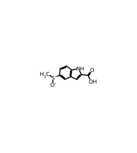 C[S+]([O-])c1ccc2[nH]c(C(=O)O)cc2c1